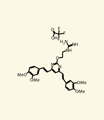 COc1ccc(C=Cc2cc(C=Cc3ccc(OC)c(OC)c3)nc(OCCNC(=N)N)n2)cc1OC.O=C(O)C(F)(F)F